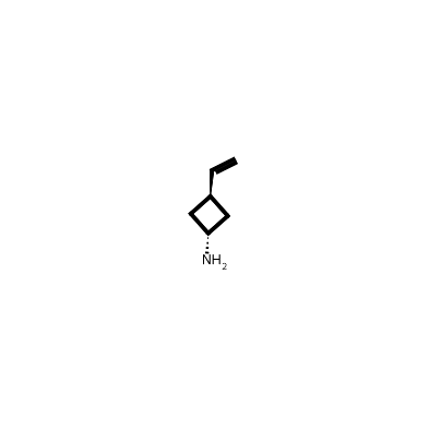 C=C[C@H]1C[C@H](N)C1